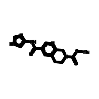 CC(C)(C)OC(=O)N1CCc2cc(C(=O)Nc3c[nH]cn3)cnc2C1